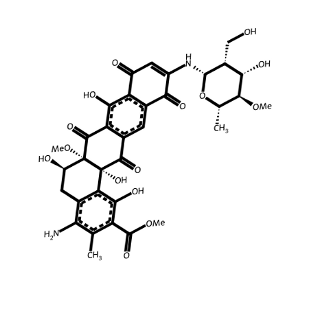 COC(=O)c1c(C)c(N)c2c(c1O)[C@]1(O)C(=O)c3cc4c(c(O)c3C(=O)[C@]1(OC)[C@H](O)C2)C(=O)C=C(N[C@H]1O[C@@H](C)[C@H](OC)[C@@H](O)[C@H]1CO)C4=O